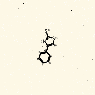 [S]c1nc(-c2ccccc2)cs1